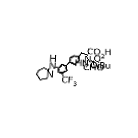 CC(C)COC(=O)N(NC=O)[C@@H](Cc1ccc(-c2cc(NC3=NCCCCC3)cc(C(F)(F)F)c2)cc1)C(=O)O